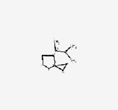 CC(C)N(C)[C@H]1CCCC12CC2